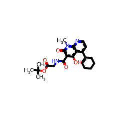 Cn1c(=O)c(C(=O)NCC(=O)OC(C)(C)C)c(O)c2c(C3=CCCCC3)ccnc21